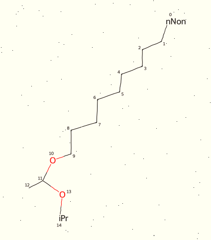 CCCCCCCCCCCCCCCCCCOC(C)OC(C)C